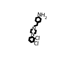 NC1CC=C(CCN2CCN(c3cccc(Cl)c3Cl)CC2)CC1